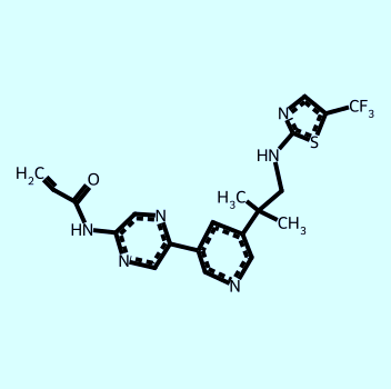 C=CC(=O)Nc1cnc(-c2cncc(C(C)(C)CNc3ncc(C(F)(F)F)s3)c2)cn1